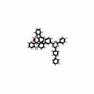 c1ccc(-c2ccc(-c3nc(-c4ccccc4)nc(-c4cccc(-c5ccc6c(c5)C5(c7ccccc7O6)c6ccccc6-n6c7ccccc7c7cccc5c76)c4)n3)cc2)cc1